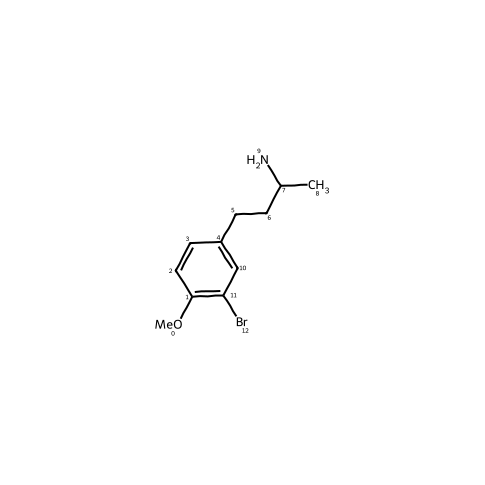 COc1ccc(CCC(C)N)cc1Br